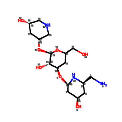 NC[C@H]1C[C@@H](O)C[C@@H](O[C@@H]2CC(CO)O[C@H](O[C@H]3CNC[C@@H](O)C3)[C@H]2O)N1